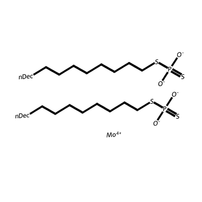 CCCCCCCCCCCCCCCCCCSP([O-])([O-])=S.CCCCCCCCCCCCCCCCCCSP([O-])([O-])=S.[Mo+4]